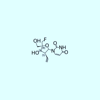 C#C[C@@H]1C(n2ccc(=O)[nH]c2=O)O[C@@](CO)(CF)[C@H]1O